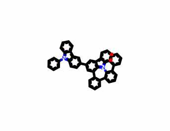 c1ccc(-c2cccc3c2-n2c4ccccc4c4cc(-c5ccc6c(c5)c5ccccc5n6-c5ccccc5)cc(c42)-c2ccccc2-3)cc1